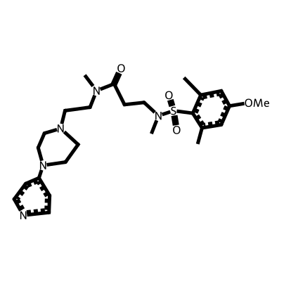 COc1cc(C)c(S(=O)(=O)N(C)CCC(=O)N(C)CCN2CCN(c3ccncc3)CC2)c(C)c1